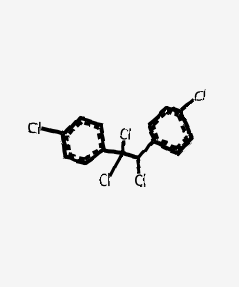 Clc1ccc(C(Cl)C(Cl)(Cl)c2ccc(Cl)cc2)cc1